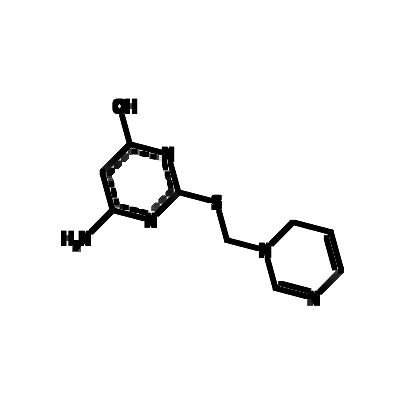 Nc1cc(O)nc(SCN2C=NC=CC2)n1